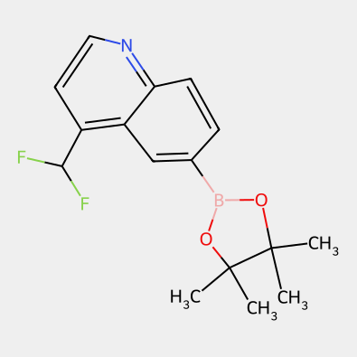 CC1(C)OB(c2ccc3nccc(C(F)F)c3c2)OC1(C)C